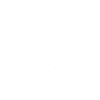 O=C(NCCn1c2c(c(=O)n1Cc1ccc(Cl)cc1)CN(Cc1cc(F)cc(F)c1)CC2)C12CC(CO)(C1)C2